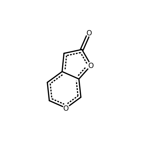 O=c1cc2ccocc-2o1